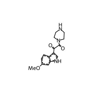 COc1ccc2c(C(=O)C(=O)N3CCNCC3)c[nH]c2c1